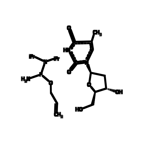 C=CCOP(N)N(C(C)C)C(C)C.Cc1cn([C@H]2C[C@H](O)[C@@H](CO)O2)c(=O)[nH]c1=O